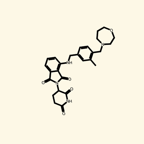 Cc1cc(CNc2cccc3c2C(=O)N(C2CCC(=O)NC2=O)C3=O)ccc1CN1CCCOCC1